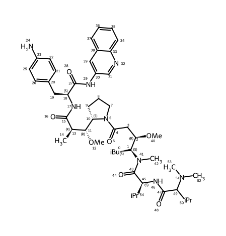 CC[C@H](C)[C@@H]([C@@H](CC(=O)N1CCC[C@H]1[C@H](OC)[C@@H](C)C(=O)N[C@@H](Cc1ccc(N)cc1)C(=O)Nc1cnc2ccccc2c1)OC)N(C)C(=O)[C@@H](NC(=O)C(C(C)C)N(C)C)C(C)C